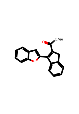 COC(=O)C1=C(c2cc3ccccc3o2)c2ccccc2C1